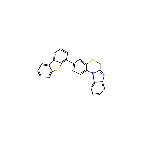 c1ccc2c(c1)nc1n2-c2ccc(-c3cccc4c3sc3ccccc34)cc2SC1